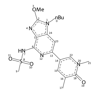 CCCCn1c(OC)nc2c(NS(C)(=O)=O)nc(-c3cc(C)c(=O)n(C)c3)cc21